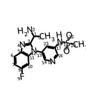 CC(N)c1nc2ccc(F)cc2n1-c1cncc(NS(C)(=O)=O)c1